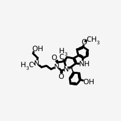 COc1ccc2[nH]c3c(c2c1)C[C@@]1(C)C(=O)N(CCCN(C)CCO)C(=O)N1[C@@H]3c1cccc(O)c1